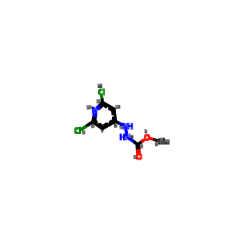 CC(C)(C)OC(=O)NNc1cc(Cl)nc(Cl)c1